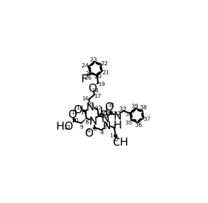 C#CCN1CC(=O)N2[C@@H](CC(=O)O)C(=O)N(CCOCc3ccccc3F)C[C@@H]2N1C(=O)NCc1ccccc1